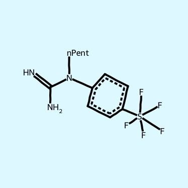 CCCCCN(C(=N)N)c1ccc(S(F)(F)(F)(F)F)cc1